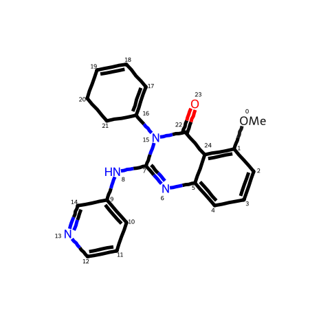 COc1cccc2nc(Nc3cccnc3)n(C3=CC=CCC3)c(=O)c12